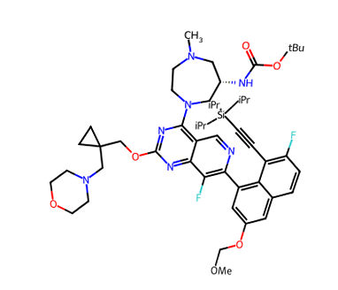 COCOc1cc(-c2ncc3c(N4CCN(C)C[C@H](NC(=O)OC(C)(C)C)C4)nc(OCC4(CN5CCOCC5)CC4)nc3c2F)c2c(C#C[Si](C(C)C)(C(C)C)C(C)C)c(F)ccc2c1